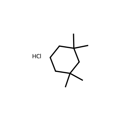 CC1(C)CCCC(C)(C)C1.Cl